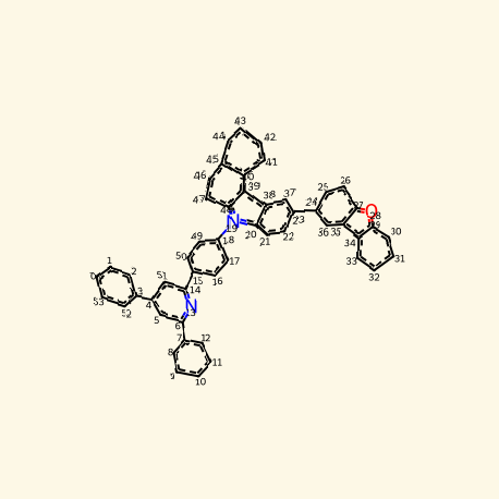 c1ccc(-c2cc(-c3ccccc3)nc(-c3ccc(-n4c5ccc(-c6ccc7oc8ccccc8c7c6)cc5c5c6ccccc6ccc54)cc3)c2)cc1